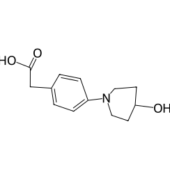 O=C(O)Cc1ccc(N2CCC(O)CC2)cc1